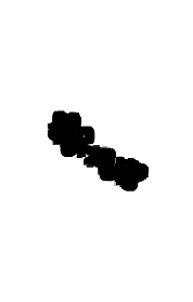 O=C(CCCC(=O)OC1COS(=O)(=O)C1)OC1COS(=O)(=O)C1